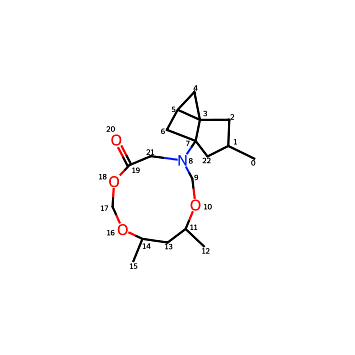 CC1CC23CC2CC3(N2COC(C)CC(C)OCOC(=O)C2)C1